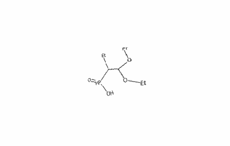 CCOC(OCC)C(CC)[PH](=O)O